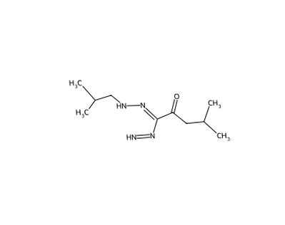 CC(C)CN/N=C(\N=N)C(=O)CC(C)C